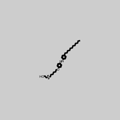 CCCCCCCCCCCCc1ccc(N=Nc2ccc(OCCCCCC[N+](C)(C)CCO)cc2)cc1